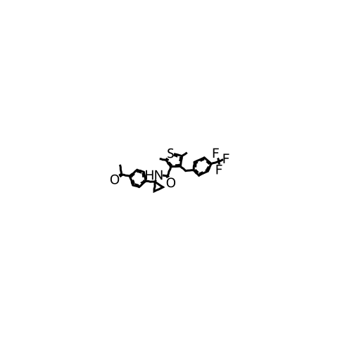 CC(=O)c1ccc(C2(NC(=O)c3c(C)sc(C)c3Cc3ccc(C(F)(F)F)cc3)CC2)cc1